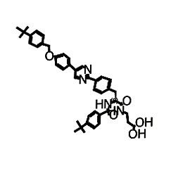 CC(C)(C)c1ccc(COc2ccc(-c3cnc(-c4ccc(C[C@H](NC(=O)c5ccc(C(C)(C)C)cc5)C(=O)NCCC(O)O)cc4)nc3)cc2)cc1